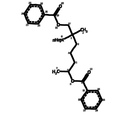 CCCCCCCC(C)(CCCC(C)OC(=O)c1ccccc1)COC(=O)c1ccccc1